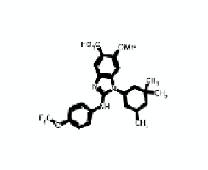 COc1cc2c(cc1C(=O)O)nc(Nc1ccc(OC(F)(F)F)cc1)n2C1CC(C)CC(C)(C)C1